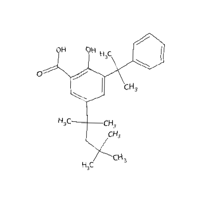 CC(C)(C)CC(C)(C)c1cc(C(=O)O)c(O)c(C(C)(C)c2ccccc2)c1